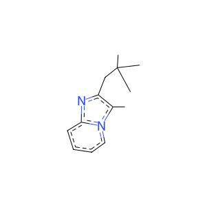 Cc1c(CC(C)(C)C)nc2ccccn12